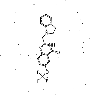 O=c1[nH]c(CN2CCc3ccccc32)nc2ccc(OC(F)(F)F)cc12